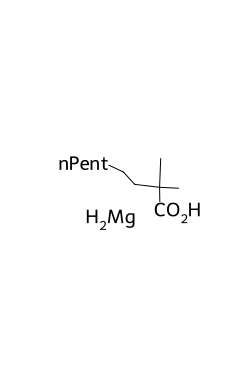 CCCCCCCC(C)(C)C(=O)O.[MgH2]